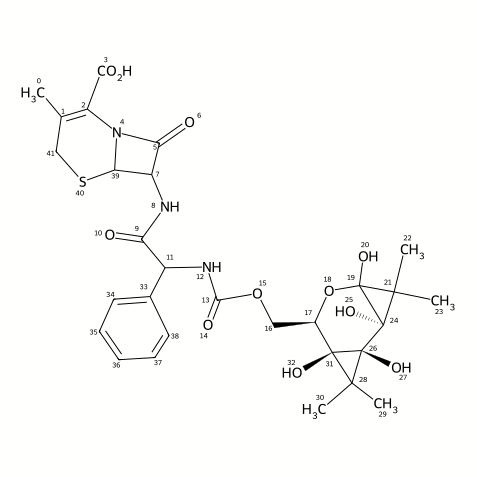 CC1=C(C(=O)O)N2C(=O)C(NC(=O)C(NC(=O)OC[C@H]3OC4(O)C(C)(C)[C@@]4(O)[C@]4(O)C(C)(C)[C@]34O)c3ccccc3)C2SC1